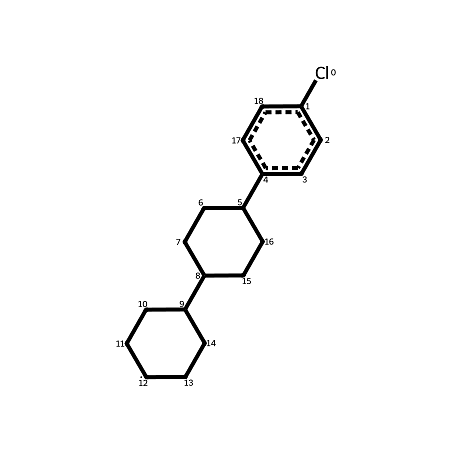 Clc1ccc(C2CCC(C3CC[CH]CC3)CC2)cc1